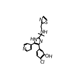 CC(C)(NCc1nccs1)c1nc(-c2ccc(Cl)c(O)c2)c(-c2ccncc2)[nH]1